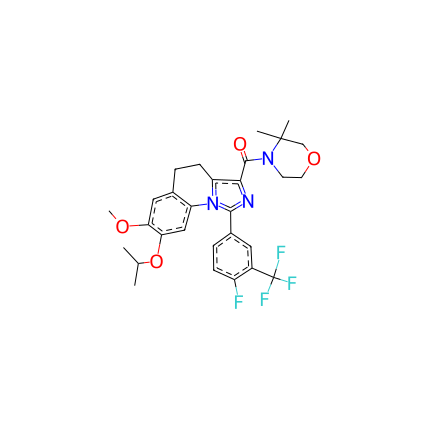 COc1cc2c(cc1OC(C)C)-n1c(-c3ccc(F)c(C(F)(F)F)c3)nc(C(=O)N3CCOCC3(C)C)c1CC2